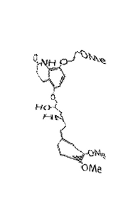 COCCOc1ccc(OCC(O)CNCCc2ccc(OC)c(OC)c2)c2c1NC(=O)CC2